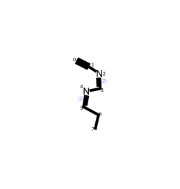 C#C/N=C\N=C/CC